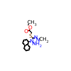 C=N/N=C(/SCC(=O)OCC)N(N)c1cccc2ccccc12